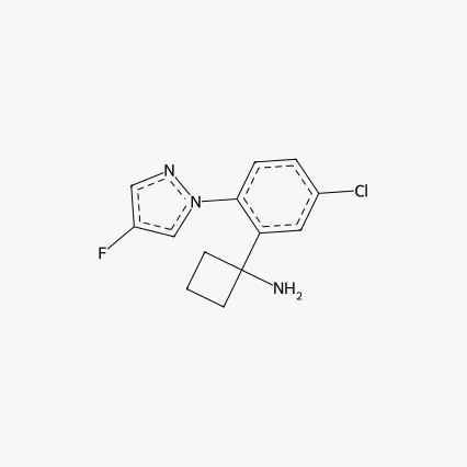 NC1(c2cc(Cl)ccc2-n2cc(F)cn2)CCC1